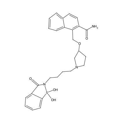 NC(=O)c1ccc2ccccc2c1COC1CCN(CCCCN2C(=O)c3ccccc3S2(O)O)C1